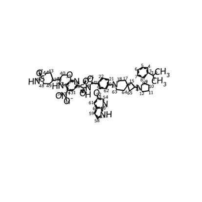 CC(C)c1ccccc1[C@@H]1CCCN1C1CC2(CCN(c3ccc(C(=O)NS(=O)(=O)c4cc([N+](=O)[O-])c5c(n4)OC[C@H](C4CCS(=N)(=O)CC4)N5)c(Oc4cnc5[nH]ccc5c4)c3)CC2)C1